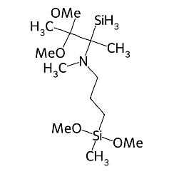 COC(C)(OC)C(C)([SiH3])N(C)CCC[Si](C)(OC)OC